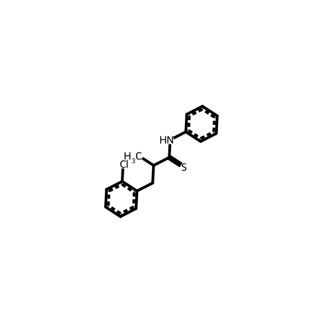 CC(Cc1ccccc1Cl)C(=S)Nc1ccccc1